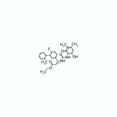 CCOC(=O)C[C@H](NC(=O)Nc1c(O)cc(C)n(C)c1=O)c1ccc(F)c(-c2ccccc2C)c1